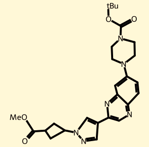 COC(=O)C1CC(n2cc(-c3cnc4ccc(N5CCN(C(=O)OC(C)(C)C)CC5)cc4n3)cn2)C1